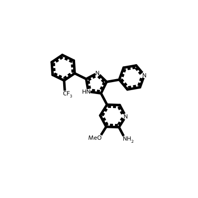 COc1cc(-c2[nH]c(-c3ccccc3C(F)(F)F)nc2-c2ccncc2)cnc1N